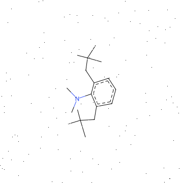 CN(C)c1c(CC(C)(C)C)cccc1CC(C)(C)C